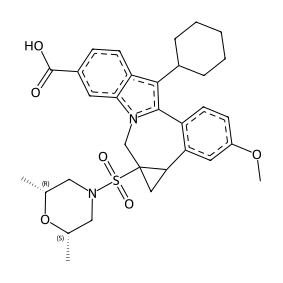 COc1ccc2c(c1)C1CC1(S(=O)(=O)N1C[C@@H](C)O[C@@H](C)C1)Cn1c-2c(C2CCCCC2)c2ccc(C(=O)O)cc21